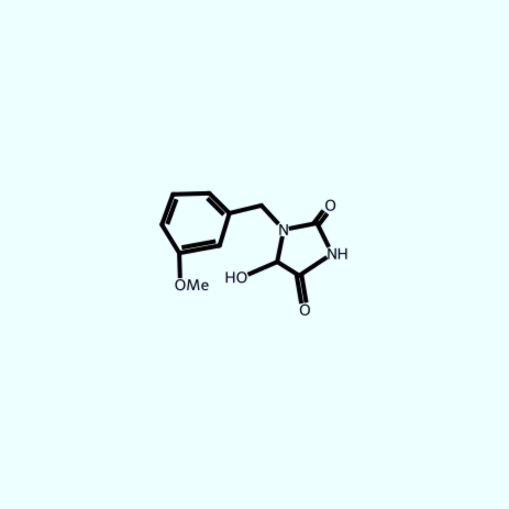 COc1cccc(CN2C(=O)NC(=O)C2O)c1